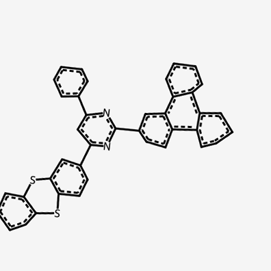 c1ccc(-c2cc(-c3ccc4c(c3)Sc3ccccc3S4)nc(-c3ccc4c5ccccc5c5ccccc5c4c3)n2)cc1